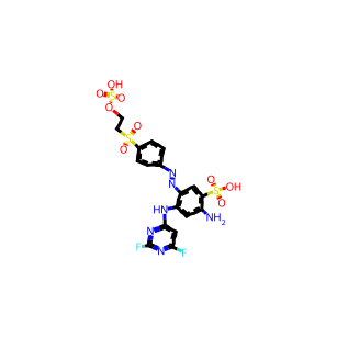 Nc1cc(Nc2cc(F)nc(F)n2)c(/N=N/c2ccc(S(=O)(=O)CCOS(=O)(=O)O)cc2)cc1S(=O)(=O)O